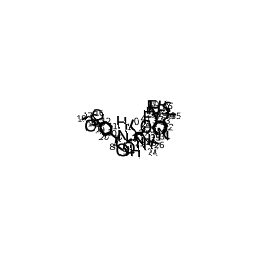 CCc1c(C(=O)NC(CO)c2ccc(S(=O)(=O)CC)cc2)nn(C(C)(C)C)c1Oc1cncc(C(C)S)c1C(F)(F)F